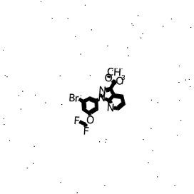 COC(=O)c1nn(-c2cc(Br)cc(OC(F)F)c2)c2ncccc12